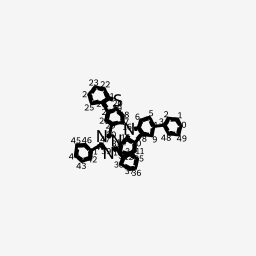 c1ccc(-c2ccc3c(c2)c2ccccc2n3-c2cc3sc4ccccc4c3cc2-c2nc(-c3ccccc3)nc(-c3ccccc3)n2)cc1